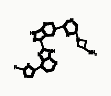 NC1CN(c2cncc(-c3cnc4[nH]nc(-c5nc6c(-c7ccc(F)s7)ccnc6[nH]5)c4c3)n2)C1